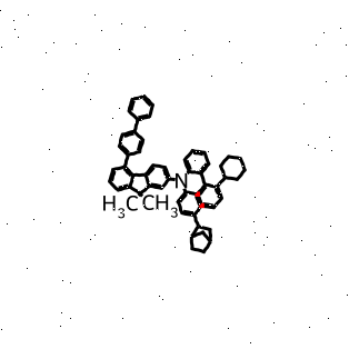 CC1(C)c2cc(N(c3ccc(C4CC5CCC4C5)cc3)c3ccccc3-c3ccccc3C3CCCCC3)ccc2-c2c(-c3ccc(-c4ccccc4)cc3)cccc21